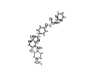 CN1CCC(Nc2c(Cl)cnc3[nH]c(-c4ccc(OCC(=O)Nc5ncccn5)cc4)nc23)CC1